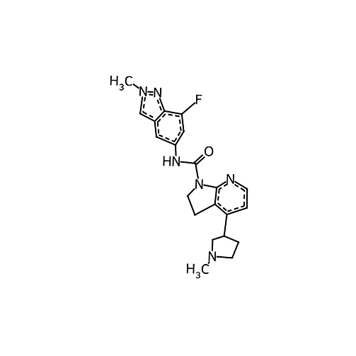 CN1CCC(c2ccnc3c2CCN3C(=O)Nc2cc(F)c3nn(C)cc3c2)C1